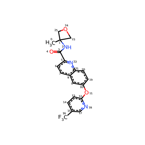 CC1(NC(=O)c2ccc3cc(Oc4ccc(C(F)(F)F)cn4)ccc3n2)COC1